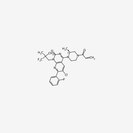 C=CC(=O)N1CCN(c2nc(=O)n(CC(C)(C)C(F)(F)F)c3nc(-c4ccccc4F)c(Cl)cc23)[C@@H](C)C1